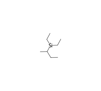 CCC(C)[Si](CC)CC